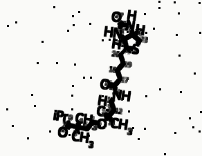 CC(C)C(=O)C(C)(C)CCOC(C)(C)CCNC(=O)CCCC[C@@H]1SC[C@@H]2NC(=O)N[C@@H]21